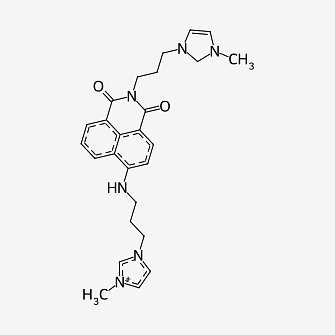 CN1C=CN(CCCN2C(=O)c3cccc4c(NCCCn5cc[n+](C)c5)ccc(c34)C2=O)C1